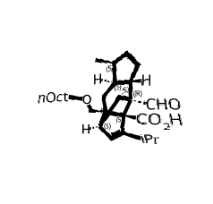 CCCCCCCCOC[C@]12C[C@H]3[C@@H](C)CC[C@@H]3[C@]3(C=O)C[C@H]1C=C(C(C)C)[C@]23C(=O)O